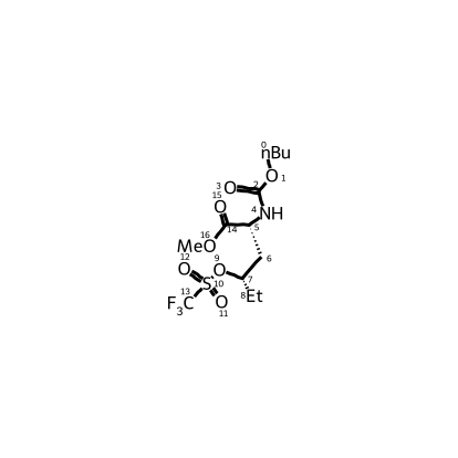 CCCCOC(=O)N[C@H](C[C@H](CC)OS(=O)(=O)C(F)(F)F)C(=O)OC